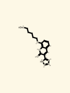 CCCCCCCCCCCCCCCOc1cccc2cc(-c3nnn[nH]3)c(=O)oc12